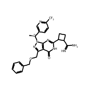 C[C@@H](c1ccc(C(F)(F)F)nc1)n1nc(COCc2ccccc2)c2c(=O)[nH]c(C3CCC3C(=N)N)nc21